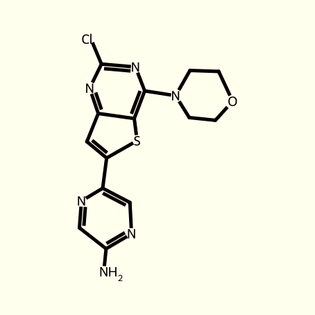 Nc1cnc(-c2cc3nc(Cl)nc(N4CCOCC4)c3s2)cn1